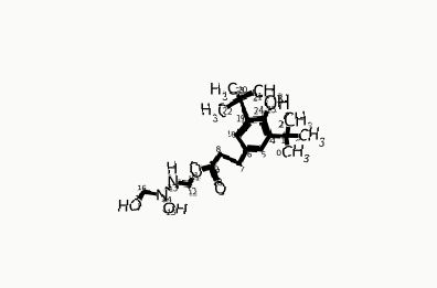 CC(C)(C)c1cc(CCC(=O)OCNN(O)CO)cc(C(C)(C)C)c1O